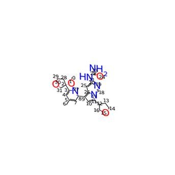 CO[C@@]1(c2cc(C)cc(-c3cc(C4CCOC4)n4cnc(NC(N)=O)cc34)n2)CCOC1